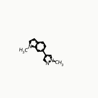 Cn1cc(-c2ccc3ccn(C)c3c2)cn1